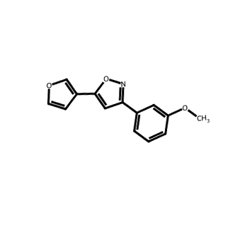 COc1cccc(-c2cc(-c3ccoc3)on2)c1